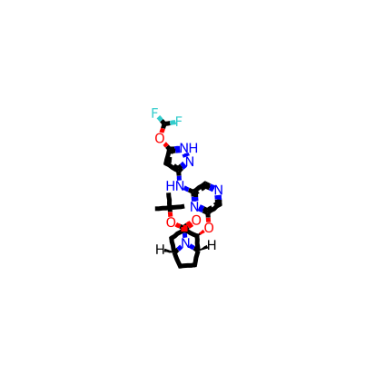 CC(C)(C)OC(=O)N1[C@H]2CC[C@@H](Oc3cncc(Nc4cc(OC(F)F)[nH]n4)n3)[C@@H]1CC2